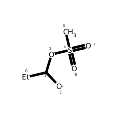 CCC([O])OS(C)(=O)=O